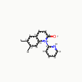 Cc1cc2ccc(=O)n(-c3ccccn3)c2cc1C